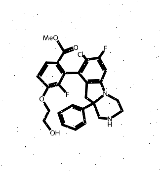 COC(=O)c1ccc(OCCO)c(F)c1-c1c(Cl)c(F)cc2c1CC1(c3ccccc3)CNCCN21